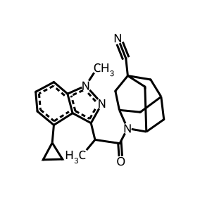 CC(C(=O)N1C2CC3CC1CC(C#N)(C3)C2)c1nn(C)c2cccc(C3CC3)c12